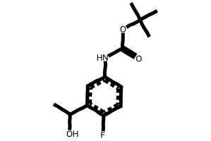 CC(O)c1cc(NC(=O)OC(C)(C)C)ccc1F